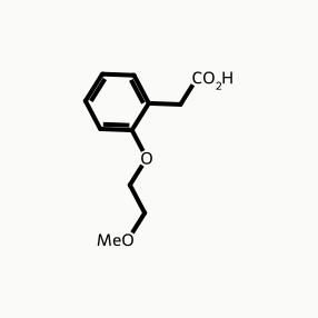 COCCOc1ccccc1CC(=O)O